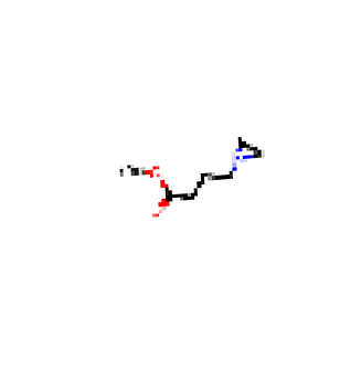 CC(C)(C)OC(=O)CCCN1CC1